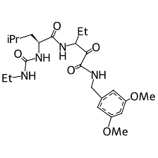 CCNC(=O)N[C@@H](CC(C)C)C(=O)NC(CC)C(=O)C(=O)NCc1cc(OC)cc(OC)c1